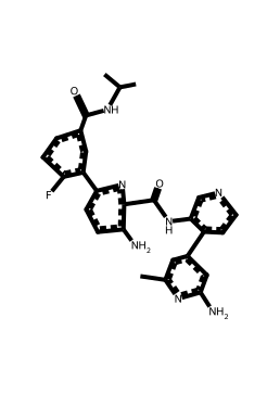 Cc1cc(-c2ccncc2NC(=O)c2nc(-c3cc(C(=O)NC(C)C)ccc3F)ccc2N)cc(N)n1